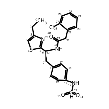 CCc1csc([C@H](Cc2ccc(N[SH](=O)=O)cc2)NC(=O)Cc2ccccc2Cl)n1